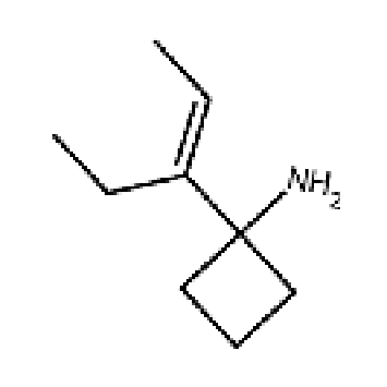 C/C=C(\CC)C1(N)CCC1